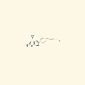 [N-]=[N+]=NCCCCN1CCN(c2cc3c(cc2F)c(=O)c(C(=O)O)cn3C2CC2)CC1